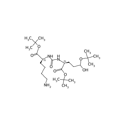 CC(C)(C)OC(=O)[C@H](CCCCN)NC(=O)N[C@@H](CCC(O)OC(C)(C)C)C(=O)OC(C)(C)C